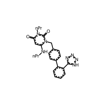 CCCNc1cc(=O)n(CCC)c(=O)n1Cc1ccc(-c2ccccc2-c2nnn[nH]2)cc1